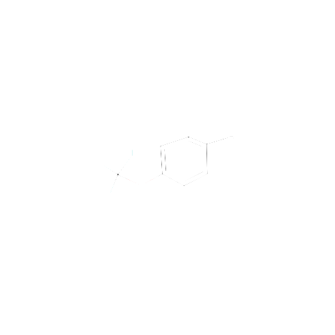 [B]c1ccc(OC(F)(F)F)cc1